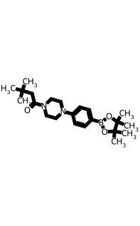 CC(C)(C)CC(=O)N1CCN(c2ccc(B3OC(C)(C)C(C)(C)O3)cc2)CC1